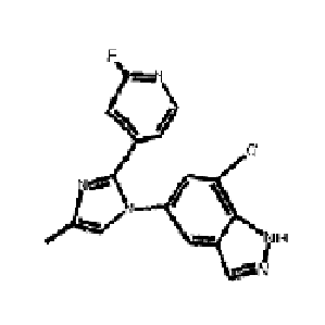 Cc1cn(-c2cc(Cl)c3[nH]ncc3c2)c(-c2ccnc(F)c2)n1